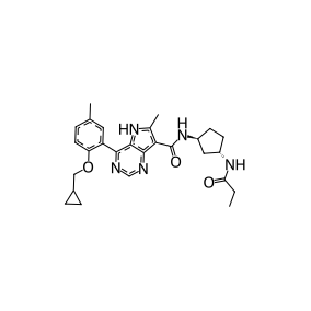 CCC(=O)N[C@H]1CC[C@H](NC(=O)c2c(C)[nH]c3c(-c4cc(C)ccc4OCC4CC4)ncnc23)C1